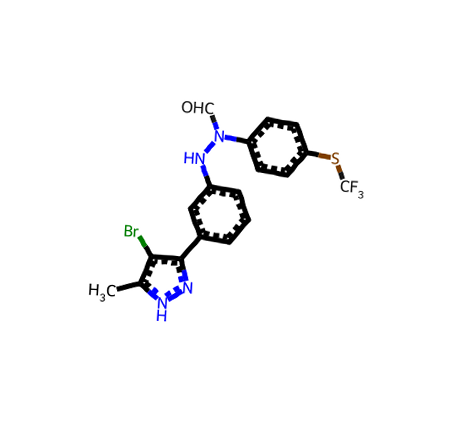 Cc1[nH]nc(-c2cccc(NN(C=O)c3ccc(SC(F)(F)F)cc3)c2)c1Br